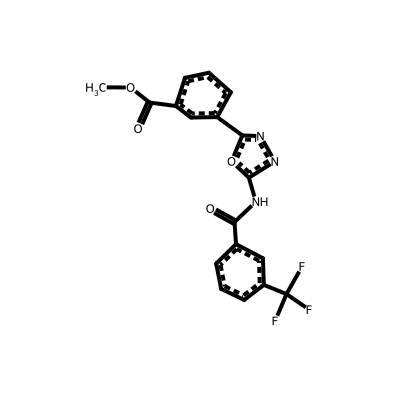 COC(=O)c1cccc(-c2nnc(NC(=O)c3cccc(C(F)(F)F)c3)o2)c1